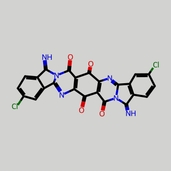 N=c1c2ccc(Cl)cc2c2nc3c(=O)c4c(=O)n5c(=N)c6ccc(Cl)cc6c5nc4c(=O)c3c(=O)n12